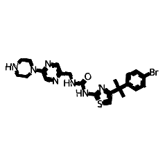 CC(C)(c1ccc(Br)cc1)c1csc(NC(=O)NCc2cnc(N3CCNCC3)cn2)n1